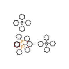 Cc1ccc(C([P+](c2ccccc2)(c2ccccc2)c2ccccc2)[P+](c2ccccc2)(c2ccccc2)c2ccccc2)cc1.c1ccc([B-](c2ccccc2)(c2ccccc2)c2ccccc2)cc1.c1ccc([B-](c2ccccc2)(c2ccccc2)c2ccccc2)cc1